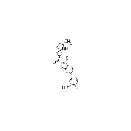 Cc1cc(-c2ccc3c(Cl)c(C(=O)N4CC5(CCC(C)N5)C4)sc3c2)ccc1F